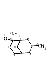 CC1CC2CCC(C)(O)C(C1)C2